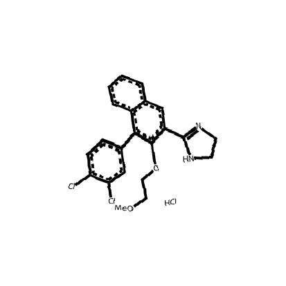 COCCOc1c(C2=NCCN2)cc2ccccc2c1-c1ccc(Cl)c(Cl)c1.Cl